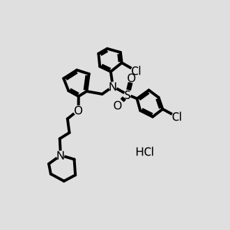 Cl.O=S(=O)(c1ccc(Cl)cc1)N(Cc1ccccc1OCCCN1CCCCC1)c1ccccc1Cl